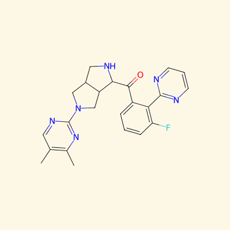 Cc1cnc(N2CC3CNC(C(=O)c4cccc(F)c4-c4ncccn4)C3C2)nc1C